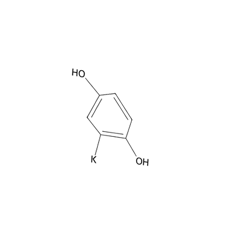 Oc1ccc(O)[c]([K])c1